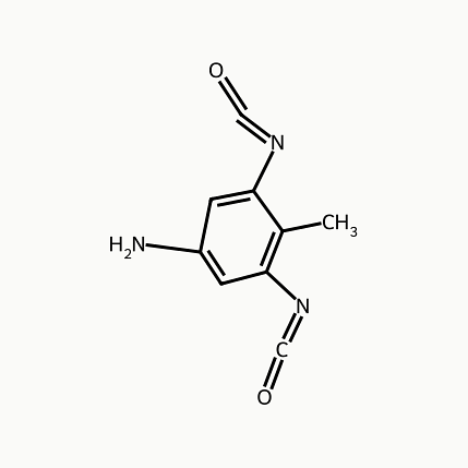 Cc1c(N=C=O)cc(N)cc1N=C=O